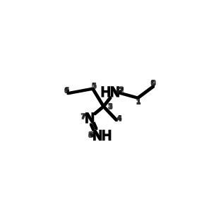 CCNC(C)(CC)N=N